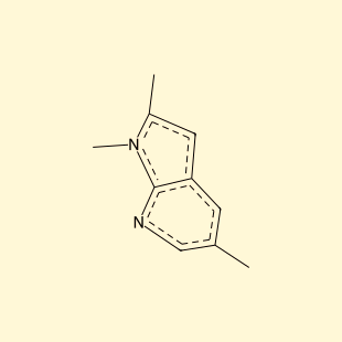 Cc1cnc2c(c1)cc(C)n2C